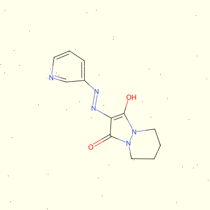 O=c1c(N=Nc2cccnc2)c(O)n2n1CCCC2